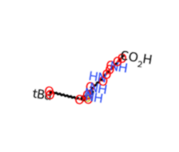 CC(C)(C)OC(=O)CCCCCCCCCCCCCCCOc1ccc(S(=O)(=O)Nc2ccc(C(=O)NCCCCCC(=O)NCCOCCOCC(=O)NCCOCCOCC(=O)O)cn2)cc1